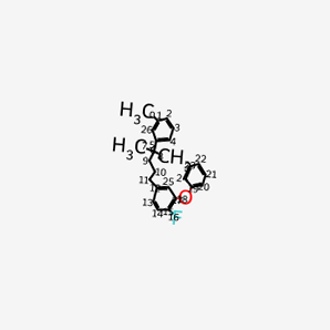 Cc1cccc(C(C)(C)CCCc2ccc(F)c(Oc3ccccc3)c2)c1